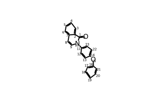 O=c1c2ccccc2ccn1-c1ccc(Oc2ccccc2)cc1